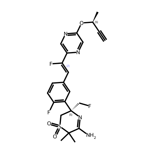 C#C[C@H](C)Oc1cnc(/C(F)=C/c2ccc(F)c([C@]3(CF)CS(=O)(=O)C(C)(C)C(N)=N3)c2)cn1